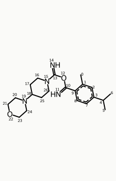 Cc1cc(C(C)C)ccc1C(=N)OC(=N)N1CCC(N2CCOCC2)CC1